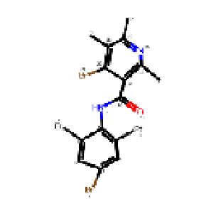 CCc1cc(Br)cc(CC)c1NC(=O)c1c(C)nc(C)c(C)c1Br